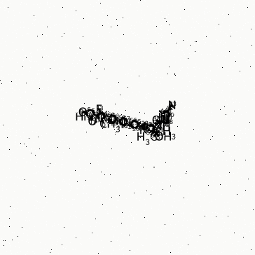 Cc1nc([C@@H]2CCC(=O)NC2=O)c(F)cc1N1CCC(N2CCN(C3CCC(n4cc5cc(NC(=O)c6ccc7cc(C#N)cnn67)c(C(C)(C)O)cc5n4)CC3)CC2)CC1